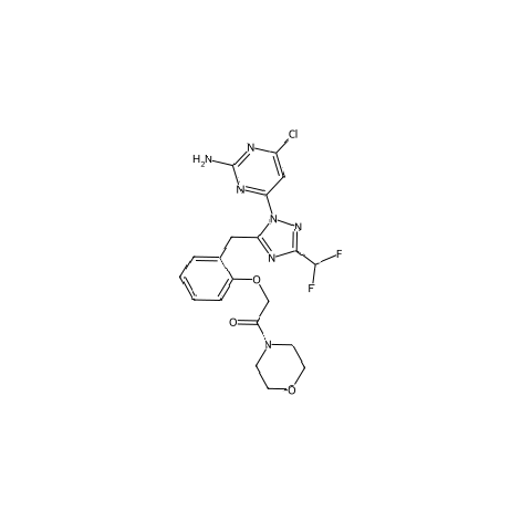 Nc1nc(Cl)cc(-n2nc(C(F)F)nc2Cc2ccccc2OCC(=O)N2CCOCC2)n1